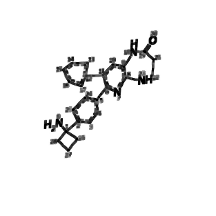 NC1(c2ccc(-c3nc4c(cc3-c3ccccc3)NC(=O)CCN4)cc2)CCC1